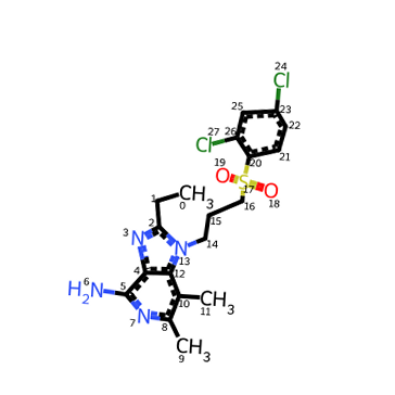 CCc1nc2c(N)nc(C)c(C)c2n1CCCS(=O)(=O)c1ccc(Cl)cc1Cl